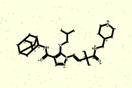 CC(C)COc1c(C(=O)NC2C3CC4CC(C3)CC2C4)cnn1/C=C/C(C)(C)C(=O)NCC1CCNCC1